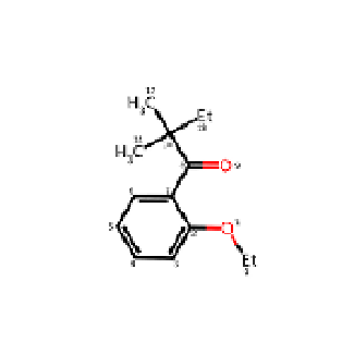 CCOc1ccccc1C(=O)C(C)(C)CC